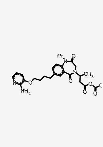 CC(CC(=O)OC(=O)C(F)(F)F)N1CC(=O)N(C(C)C)c2ccc(CCCCOc3cccnc3N)cc2C1=O